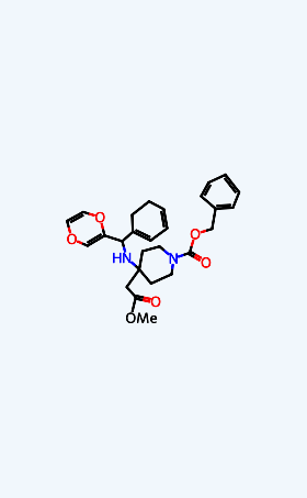 COC(=O)CC1(NC(C2=CC=CCC2)C2=COC=CO2)CCN(C(=O)OCc2ccccc2)CC1